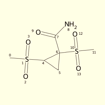 CS(=O)(=O)C1CC1(C(N)=O)S(C)(=O)=O